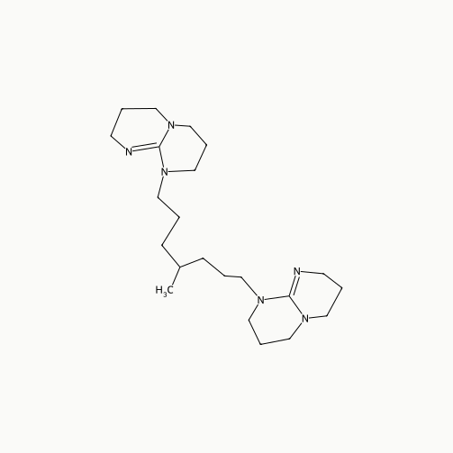 CC(CCCN1CCCN2CCCN=C21)CCCN1CCCN2CCCN=C21